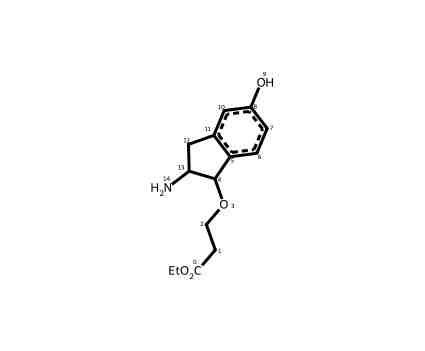 CCOC(=O)CCOC1c2ccc(O)cc2CC1N